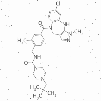 Cc1cc(C(=O)N2Cc3cnn(C)c3Nc3cc(Cl)ccc32)ccc1CNC(=O)N1CCN(CC(C)(C)C)CC1